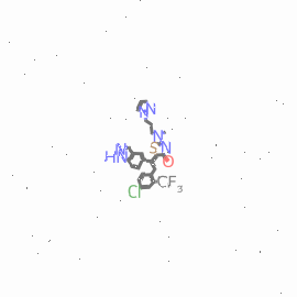 CN(CCCn1cccn1)C1=NC(=O)C(=C(Cc2ccc(Cl)cc2C(F)(F)F)c2ccc3[nH]ncc3c2)S1